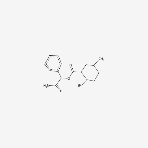 CC1CCC(C(C)C)C(C(=O)OC(C(N)=O)c2ccccc2)C1